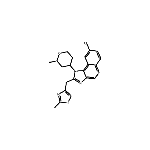 Cc1nc(Cc2nc3cnc4ccc(Cl)cc4c3n2C2CCO[C@H](C)C2)no1